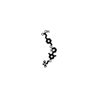 Cc1cc(OCCS(C)(=O)=O)cc(C)c1-c1cccc(OCc2ccc(CCC(=O)O)cc2)n1